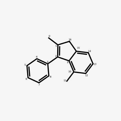 CC1=C(c2ccccc2)c2c(C)cccc2[CH]1